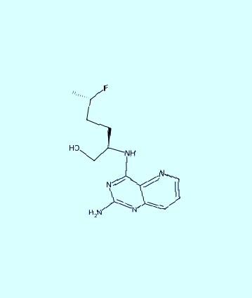 C[C@H](F)CC[C@H](CO)Nc1nc(N)nc2cccnc12